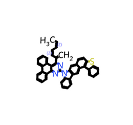 C=C(/C=C\C=C/C)c1nc(-n2c3ccccc3c3cc4c(ccc5sc6ccccc6c54)cc32)nc2c3ccccc3c3ccccc3c12